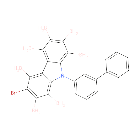 Bc1c(B)c(B)c2c(c1B)c1c(B)c(Br)c(B)c(B)c1n2-c1cccc(-c2ccccc2)c1